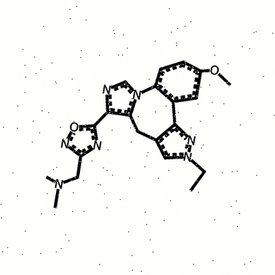 CCn1cc2c(n1)-c1cc(OC)ccc1-n1cnc(-c3nc(CN(C)C)no3)c1C2